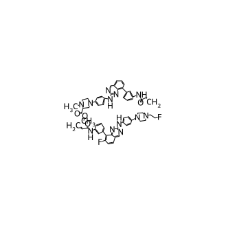 C=CC(=O)Nc1cccc(-c2c(F)ccc3cnc(Nc4ccc(N5CCN(CCF)CC5)cc4)nc23)c1.C=CC(=O)Nc1cccc(-c2cccc3cnc(Nc4ccc(N5CCN(C)C(C(=O)OC)C5)cc4)nc23)c1